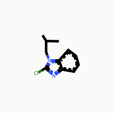 CC(C)Cn1c(Cl)nc2ccccc21